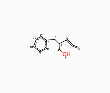 C=C=CC(CO)Cc1ccccc1